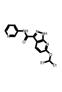 CCC(CC)Oc1ccc2c(C(=O)Nc3cccnc3)n[nH]c2n1